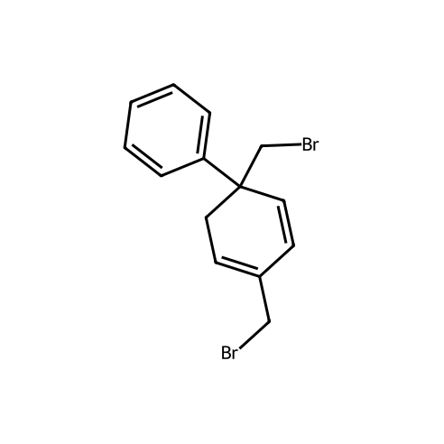 BrCC1=CCC(CBr)(c2ccccc2)C=C1